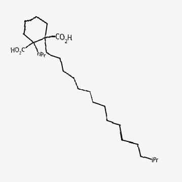 CCCC1(C(=O)O)CCCCC1(CCCCCCCCCCCCCC(C)C)C(=O)O